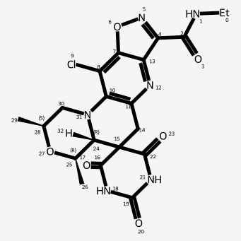 CCNC(=O)c1noc2c(Cl)c3c(nc12)CC1(C(=O)NC(=O)NC1=O)[C@@H]1[C@@H](C)O[C@@H](C)CN31